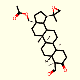 CC(=O)OC[C@]12CC[C@@H](C3(C)CO3)C1C1CCC3[C@@]4(C)CCC(=O)[C@@](C)(C=O)[C@@H]4CC[C@@]3(C)[C@]1(C)CC2